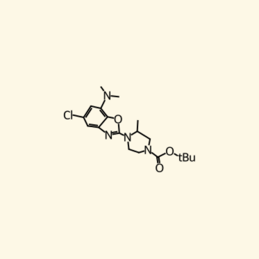 CC1CN(C(=O)OC(C)(C)C)CCN1c1nc2cc(Cl)cc(N(C)C)c2o1